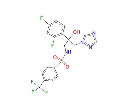 O=S(=O)(NCC(O)(Cn1cncn1)c1ccc(F)cc1F)c1ccc(C(F)(F)F)cc1